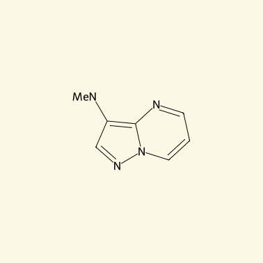 CNc1cnn2cccnc12